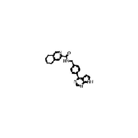 O=C(NCc1ccc(-c2ncnc3[nH]ccc23)cc1)c1cc2c(cn1)CCCC2